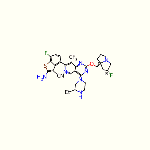 CCC1CN(c2nc(OC[C@@]34CCCN3C[C@H](F)C4)nc3c(C(F)(F)F)c(-c4ccc(F)c5sc(N)c(C#N)c45)ncc23)CCN1